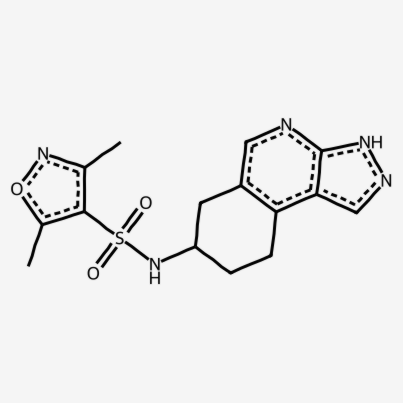 Cc1noc(C)c1S(=O)(=O)NC1CCc2c(cnc3[nH]ncc23)C1